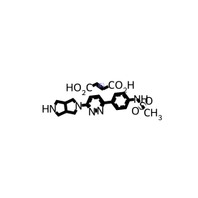 CS(=O)(=O)Nc1ccc(-c2ccc(N3CC4CNCC4C3)nn2)cc1.O=C(O)/C=C/C(=O)O